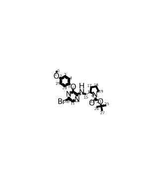 COc1ccc(Oc2nc(Br)cnc2NC[C@@H]2CCCN2C(=O)OC(C)(C)C)cc1